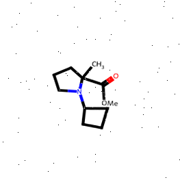 COC(=O)C1(C)CCCN1C1CCC1